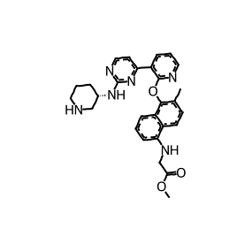 COC(=O)CNc1cccc2c(Oc3ncccc3-c3ccnc(N[C@H]4CCCNC4)n3)c(C)ccc12